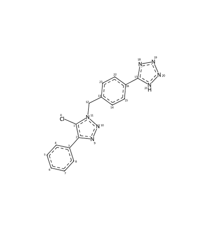 Clc1c(-c2ccccc2)nnn1Cc1ccc(-c2nnn[nH]2)cc1